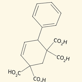 O=C(O)C1(C(=O)O)C=CC(c2ccccc2)C(C(=O)O)(C(=O)O)C1